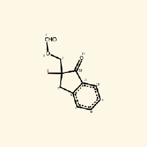 CC1(COC=O)Cc2ccccc2C1=O